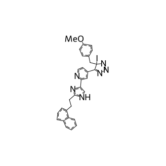 COc1ccc(CC2(I)N=NN=C2c2ccnc(-c3c[nH]c(CCc4cccc5ccccc45)n3)c2)cc1